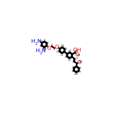 Nc1ccc(OCCOc2ccc(-c3ccc(C=CC(=O)c4ccccc4)c(C(=O)O)c3)cc2)c(N)c1